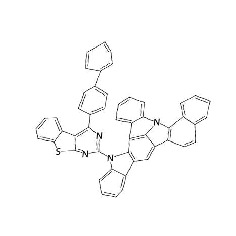 c1ccc(-c2ccc(-c3nc(-n4c5ccccc5c5cc6c7ccc8ccccc8c7n7c8ccccc8c(c54)c67)nc4sc5ccccc5c34)cc2)cc1